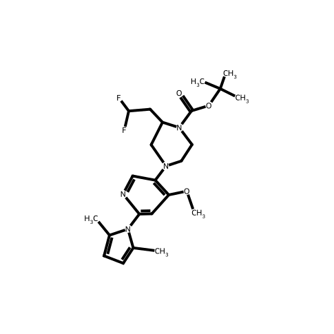 COc1cc(-n2c(C)ccc2C)ncc1N1CCN(C(=O)OC(C)(C)C)C(CC(F)F)C1